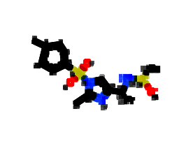 Cc1ccc(S(=O)(=O)n2cc([C@@H](N[S+]([O-])C(C)(C)C)C(C)C)nc2C)cc1